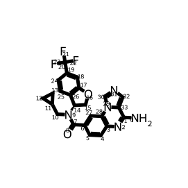 Nc1nc2ccc(C(=O)N(CC3CC3)[C@@H]3COc4cc(C(F)(F)F)ccc43)cc2n2cncc12